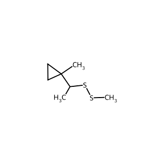 CSSC(C)C1(C)CC1